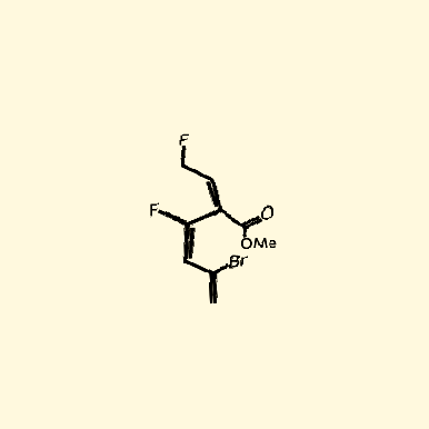 C=C(Br)/C=C(F)\C(=C/CF)C(=O)OC